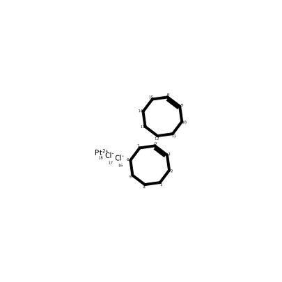 C1=C\CCCCCC/1.C1=C\CCCCCC/1.[Cl-].[Cl-].[Pt+2]